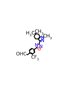 Cn1nc(-c2noc(-c3ccc(CC=O)c(C(F)(F)F)c3)n2)c2c1CC(C)(C)CC2